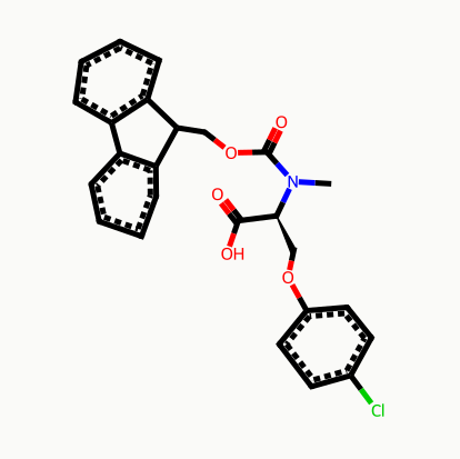 CN(C(=O)OCC1c2ccccc2-c2ccccc21)[C@@H](COc1ccc(Cl)cc1)C(=O)O